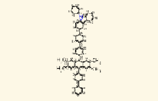 Cc1cc2c(-c3ccc(-c4ccccc4)cc3)c3cc(C)c(C)cc3c(-c3ccc(-c4ccc(-c5ccc6c(c5)c5ccccc5n6-c5ccccc5)cc4)cc3)c2cc1C